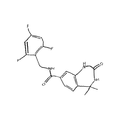 CC1(C)NC(=O)Nc2cc(C(=O)NCc3c(F)cc(F)cc3F)ccc21